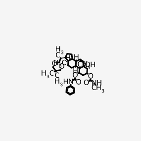 CNC(=O)OC1CC(OC(=O)Nc2ccccc2)[C@]2(C)[C@H]3CC[C@]4(C)[C@@H](C(C)C5OCC(C)(C)CO5)CC[C@H]4[C@@H]3C=CC2(O)C1